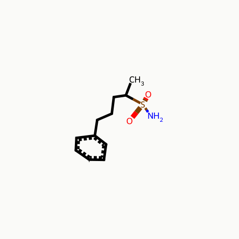 CC(CCCc1cc[c]cc1)S(N)(=O)=O